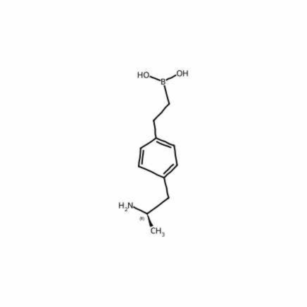 C[C@@H](N)Cc1ccc(CCB(O)O)cc1